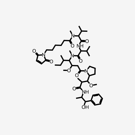 CCC(C)C(C(CC(=O)N1CCCC1C(OC)C(C)C(=O)NC(C)C(O)c1ccccc1)OC)N(C)C(=O)C(NC(=O)C(C(C)C)N(C)C(=O)CCCCCN1C(=O)C=CC1=O)C(C)C